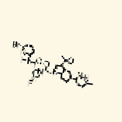 CC(=O)c1cn(CC(=O)N2C[C@H](F)CC2C(=O)Nc2cccc(Br)n2)c2ccc(-c3ccc(C)nn3)cc12